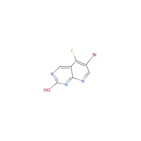 Oc1ncc2c(F)c(Br)cnc2n1